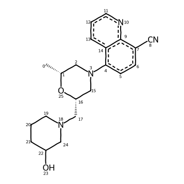 C[C@@H]1CN(c2ccc(C#N)c3ncccc23)C[C@H](CN2CCCC(O)C2)O1